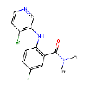 CCN(C(=O)c1cc(F)ccc1Nc1cnccc1Br)C(C)C